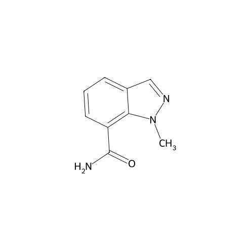 Cn1ncc2cccc(C(N)=O)c21